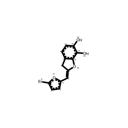 CCc1ccc(C=C2Cc3ccc(O)c(O)c3O2)o1